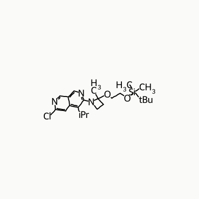 CC(C)c1c(N2CCC2(C)OCCO[Si](C)(C)C(C)(C)C)ncc2cnc(Cl)cc12